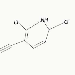 N#CC1=C(Cl)NC(Cl)C=C1